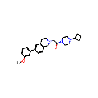 CCOc1cccc(-c2ccc3c(c2)CCN(CC(=O)N2CCN(C4CCC4)CC2)C3)c1